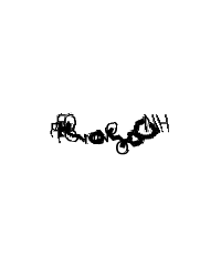 O=C(CCC(=O)N1C=CN(CCOC(=O)C(F)(F)F)C=C1)c1ccc2c(c1)CCNCC2